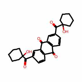 O=C1c2ccc(C(=O)C3(O)CCCCC3)cc2C(=O)c2cc(C(=O)C3(O)CCCCC3)ccc21